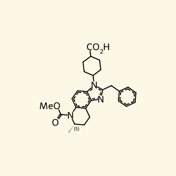 COC(=O)N1c2ccc3c(nc(Cc4ccccc4)n3C3CCC(C(=O)O)CC3)c2CC[C@@H]1C